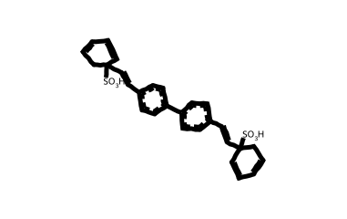 O=S(=O)(O)C1(C=Cc2ccc(-c3ccc(C=CC4(S(=O)(=O)O)C=CC=CC4)cc3)cc2)C=CC=CC1